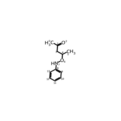 CC(=O)CC(C)ONc1ccccc1